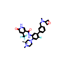 C[C@H]1CN(c2cc(F)c(-c3cccc(CN(C)C4COC4)c3)cc2NC(=O)c2c[nH]c(=O)cc2C(F)(F)F)CCN1C